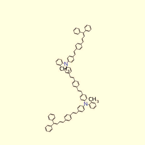 Cc1ccccc1N(c1ccc(/C=C/c2ccc(/C=C/C=C(c3ccccc3)c3ccccc3)cc2)cc1)c1ccc(/C=C/c2ccc(/C=C/c3ccc(N(c4ccc(/C=C/c5ccc(/C=C/C=C(c6ccccc6)c6ccccc6)cc5)cc4)c4ccccc4C)cc3)cc2)cc1